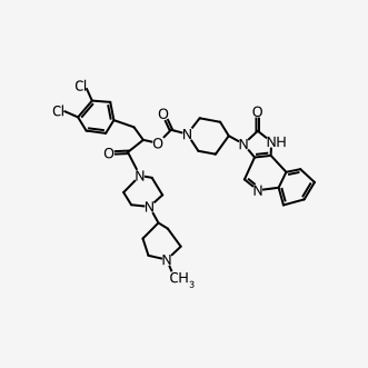 CN1CCC(N2CCN(C(=O)C(Cc3ccc(Cl)c(Cl)c3)OC(=O)N3CCC(n4c(=O)[nH]c5c6ccccc6ncc54)CC3)CC2)CC1